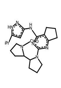 CC(C)c1cc(Nc2nc(N3CCCC3C3CCCN3C=O)nc3c2CCC3)n[nH]1